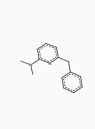 CN(C)c1cccc(Cc2ccccc2)n1